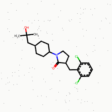 CC(C)(O)CC1CCC(N2CCC(Cc3c(Cl)cccc3Cl)C2=O)CC1